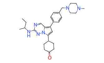 CCC(C)Nc1ncc2c(-c3ccc(CN4CCN(C)CC4)cc3)cc(C3CCC(=O)CC3)n2n1